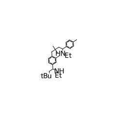 CCNC(CC(C)(C)C)c1ccc(CC(C)(C)CC(NCC)c2ccc(C)cc2)c(C)c1